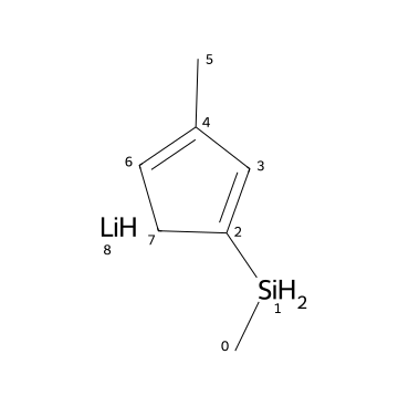 C[SiH2]C1=CC(C)=CC1.[LiH]